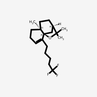 CC1(C)O[C@]23C[C@H]1CC[C@]2(C)CCC=C3CCCCC(F)(F)F